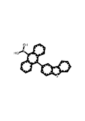 OB(O)c1c2ccccc2c(-c2ccc3sc4ccccc4c3c2)c2ccccc12